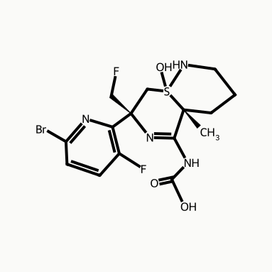 C[C@]12CCCNS1(O)C[C@@](CF)(c1nc(Br)ccc1F)N=C2NC(=O)O